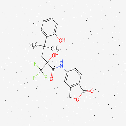 CC(C)(CC(O)(C(=O)Nc1ccc2c(c1)COC2=O)C(F)(F)F)c1ccccc1O